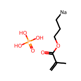 C=C(C)C(=O)OCC[CH2][Na].O=P(O)(O)O